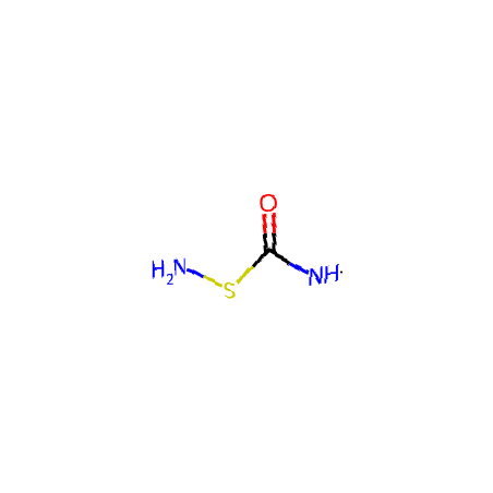 [NH]C(=O)SN